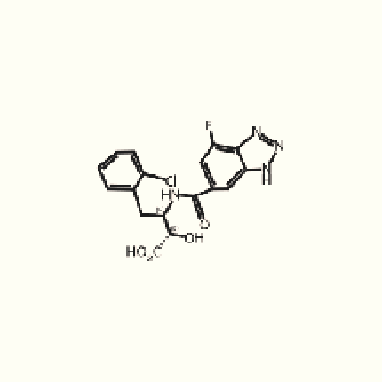 O=C(N[C@H](Cc1ccccc1Cl)[C@H](O)C(=O)O)c1cc(F)c2nn[nH]c2c1